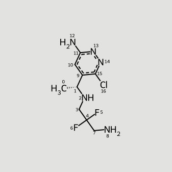 C[C@@H](NCC(F)(F)CN)c1cc(N)nnc1Cl